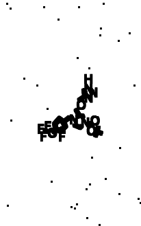 CC(C)(C)OC(=O)N1CCN(Cc2ccc(OC(F)(F)F)c(F)c2)C(COCc2c[nH]nn2)C1